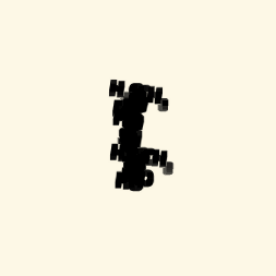 COc1cc(C(=O)O)c(F)cc1NSc1csc(-c2ccc(C3=CCC(C)(C)CC3)c(C(F)(F)F)c2)n1